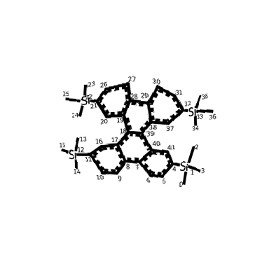 C[Si](C)(C)c1ccc2c3ccc([Si](C)(C)C)cc3c3c4cc([Si](C)(C)C)ccc4c4ccc([Si](C)(C)C)cc4c3c2c1